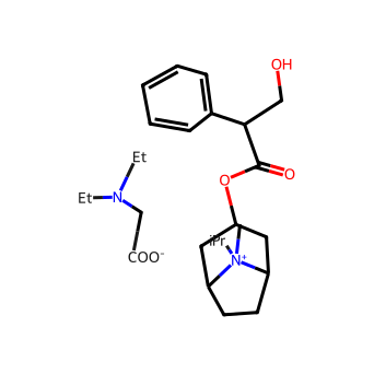 CC(C)[N+]1(C)C2CCC1CC(OC(=O)C(CO)c1ccccc1)C2.CCN(CC)CC(=O)[O-]